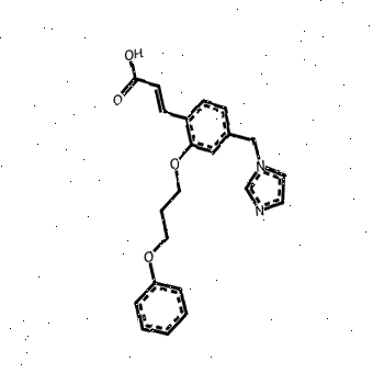 O=C(O)C=Cc1ccc(Cn2ccnc2)cc1OCCCOc1ccccc1